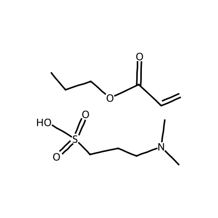 C=CC(=O)OCCC.CN(C)CCCS(=O)(=O)O